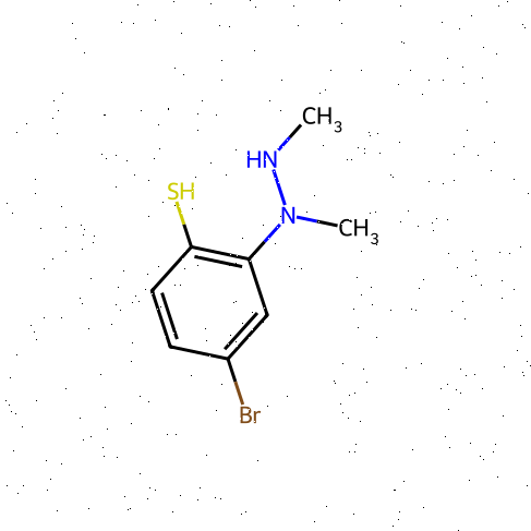 CNN(C)c1cc(Br)ccc1S